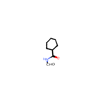 O=CNC(=O)C1CCCCC1